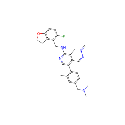 C=N/N=C\c1c(-c2ccc(CN(C)C)cc2C)cnc(NCc2c(F)ccc3c2CCO3)c1C